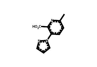 Cc1ccc(-n2cccn2)c(C(=O)O)n1